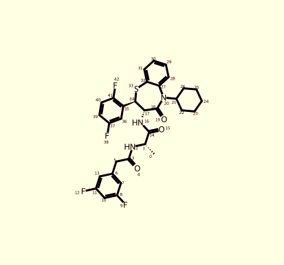 C[C@H](NC(=O)Cc1cc(F)cc(F)c1)C(=O)N[C@H]1C(=O)N(C2CCCCC2)c2ccccc2S[C@@H]1c1cc(F)ccc1F